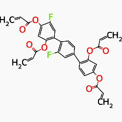 C=CC(=O)Oc1ccc(-c2ccc(-c3cc(F)c(OC(=O)C=C)cc3OC(=O)C=C)c(F)c2)c(OC(=O)C=C)c1